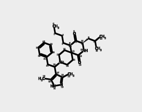 CCCCN1C(=O)[C@H](CC(C)C)NC(=O)C12CCN(C(Cc1ccccc1)c1c(C)n[nH]c1C)CC2